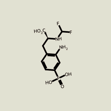 Nc1cc(P(=O)(O)O)ccc1C[C@H](NC(F)F)C(=O)O